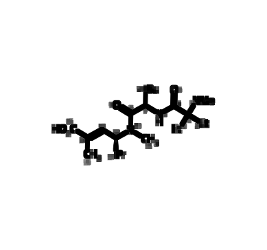 CCC(CC)(NC)C(=O)NC(C(=O)N(C)[C@H](/C=C(\C)C(=O)O)C(C)C)C(C)(C)C